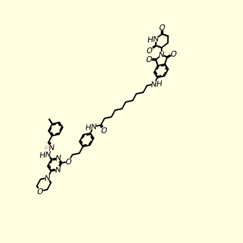 Cc1cccc(/C=N/Nc2cc(N3CCOCC3)nc(OCCc3ccc(NC(=O)CCCCCCCCCNc4ccc5c(c4)C(=O)N(C4CCC(=O)NC4=O)C5=O)cc3)n2)c1